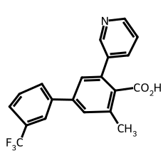 Cc1cc(-c2cccc(C(F)(F)F)c2)cc(-c2cccnc2)c1C(=O)O